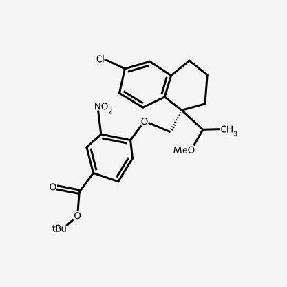 COC(C)[C@]1(COc2ccc(C(=O)OC(C)(C)C)cc2[N+](=O)[O-])CCCc2cc(Cl)ccc21